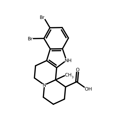 CC12c3[nH]c4ccc(Br)c(Br)c4c3CCN1CCCC2C(=O)O